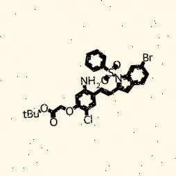 CC(C)(C)OC(=O)COc1cc(N)c(/C=C/c2cc3ccc(Br)cc3n2S(=O)(=O)c2ccccc2)cc1Cl